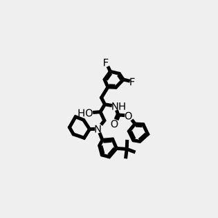 CC(C)(C)c1cccc(N(CC(O)C(Cc2cc(F)cc(F)c2)NC(=O)Oc2ccccc2)C2CCCCC2)c1